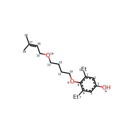 CCc1cc(O)cc(CC)c1OCCCCOCC=C(C)C